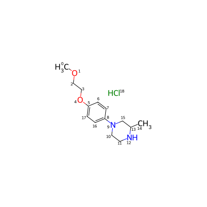 COCCOc1ccc(N2CCNC(C)C2)cc1.Cl